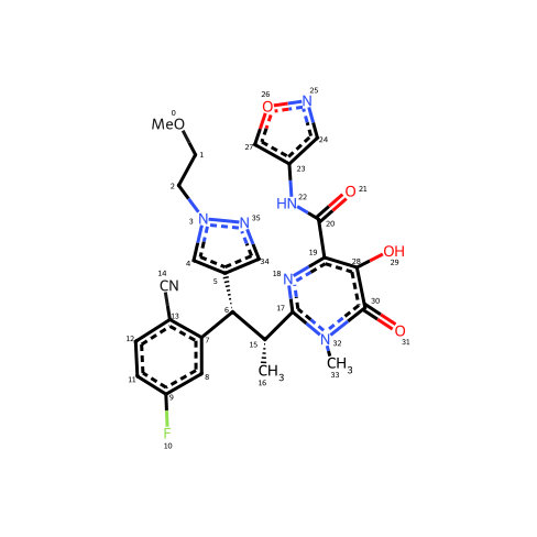 COCCn1cc([C@@H](c2cc(F)ccc2C#N)[C@@H](C)c2nc(C(=O)Nc3cnoc3)c(O)c(=O)n2C)cn1